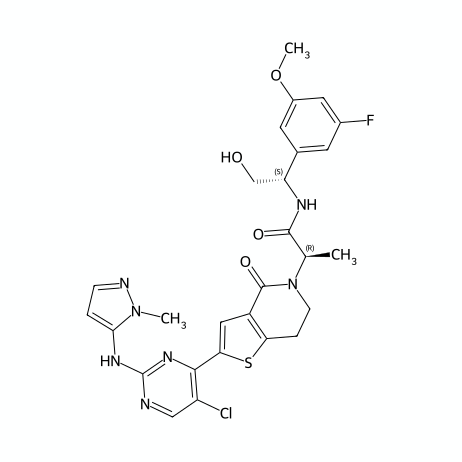 COc1cc(F)cc([C@@H](CO)NC(=O)[C@@H](C)N2CCc3sc(-c4nc(Nc5ccnn5C)ncc4Cl)cc3C2=O)c1